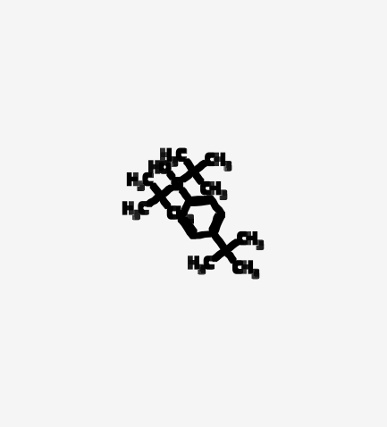 CC(C)(C)c1ccc([Si](O)(C(C)(C)C)C(C)(C)C)cc1